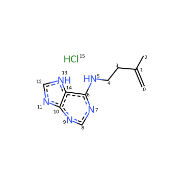 C=C(C)CCNc1ncnc2nc[nH]c12.Cl